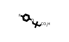 CC(C)(COc1ccc(F)cc1)CC(=O)O